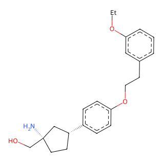 CCOc1cccc(CCOc2ccc([C@@H]3CC[C@@](N)(CO)C3)cc2)c1